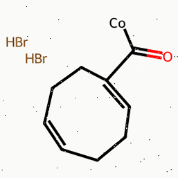 Br.Br.O=[C]([Co])C1=CCCC=CCC1